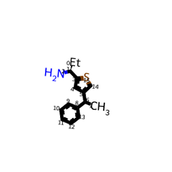 CC[C@@H](N)c1cc(C(C)c2ccccc2)cs1